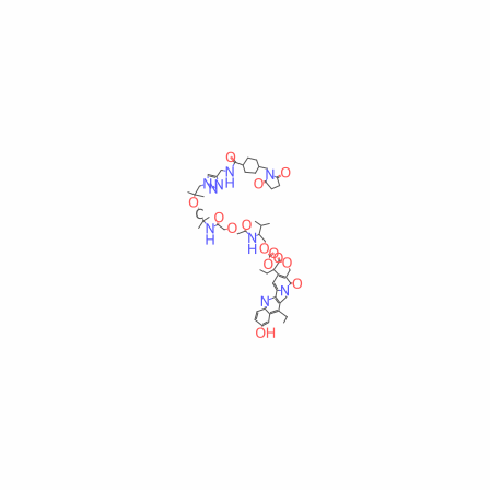 CCc1c2c(nc3ccc(O)cc13)-c1cc3c(c(=O)n1C2)COC(=O)C3(CC)OC(=O)OCC(NC(=O)COCC(=O)NC(C)(C)CCOC(C)(C)Cn1cc(CNC(=O)C2CCC(CN3C(=O)CCC3=O)CC2)nn1)C(C)C